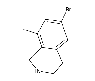 Cc1cc(Br)cc2c1CNCC2